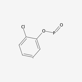 O=POc1c[c]ccc1Cl